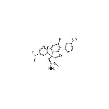 CN1C(=O)C(c2cncc(C(F)F)c2)(c2cc(-c3cccc(C#N)c3)c(F)cc2F)N=C1N